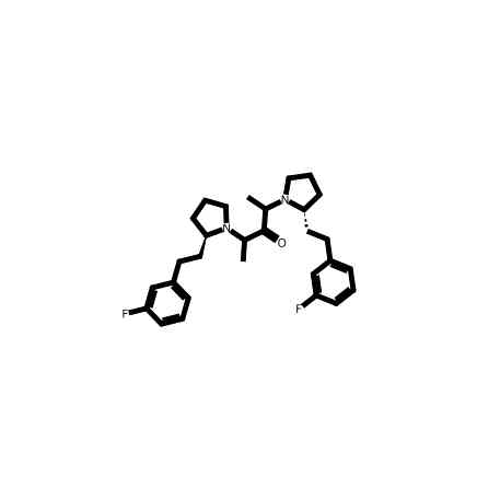 CC(C(=O)C(C)N1CCC[C@@H]1CCc1cccc(F)c1)N1CCC[C@@H]1CCc1cccc(F)c1